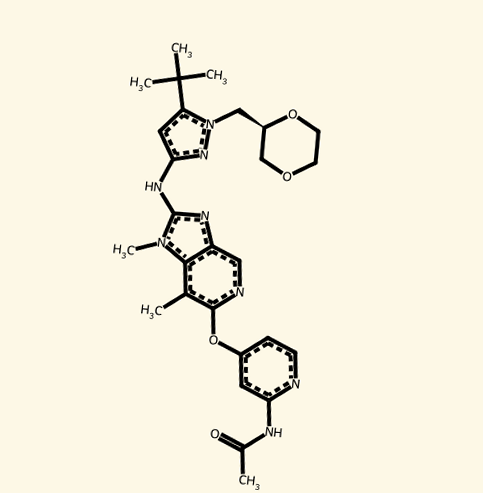 CC(=O)Nc1cc(Oc2ncc3nc(Nc4cc(C(C)(C)C)n(C[C@@H]5COCCO5)n4)n(C)c3c2C)ccn1